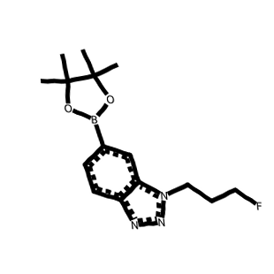 CC1(C)OB(c2ccc3nnn(CCCF)c3c2)OC1(C)C